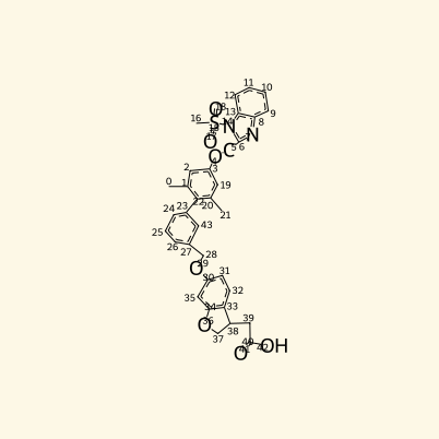 Cc1cc(OCc2nc3ccccc3n2S(C)(=O)=O)cc(C)c1-c1cccc(COc2ccc3c(c2)OCC3CC(=O)O)c1